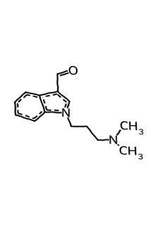 CN(C)CCCn1cc(C=O)c2ccccc21